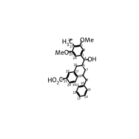 COc1cc([C@@H](O)[C@@H](CCCc2ccccc2)Cc2cccc(C(=O)O)c2)cc(OC)c1C